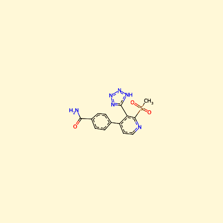 CS(=O)(=O)c1nccc(-c2ccc(C(N)=O)cc2)c1-c1nnn[nH]1